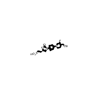 N#CCC1CCN(c2ccc(N3C[C@@H](CCS(=O)(=O)O)OC3=O)cc2)CC1F